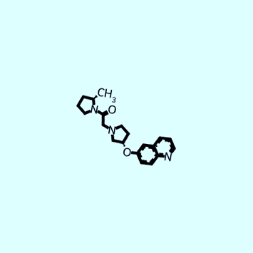 C[C@@H]1CCCN1C(=O)CN1CC[C@H](Oc2ccc3ncccc3c2)C1